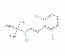 CC(C)(C)C(Cl)/C=C/c1c(Cl)cccc1Cl